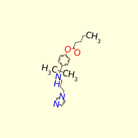 CCCCC(=O)Oc1ccc(C(C)(C)NCCCn2ccnc2)cc1